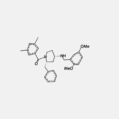 COc1ccc(OC)c(CN[C@H]2CCN(C(=O)c3cc(C)cc(C)c3)[C@@H](Cc3ccccc3)C2)c1